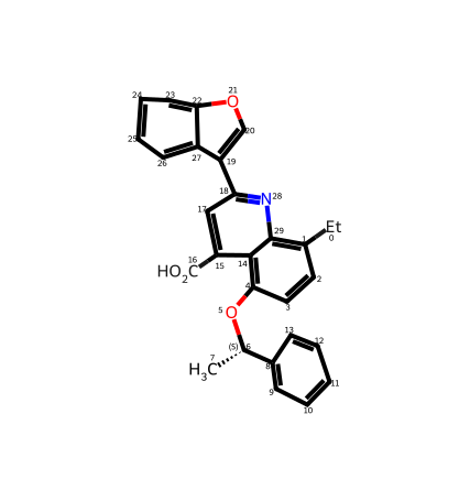 CCc1ccc(O[C@@H](C)c2ccccc2)c2c(C(=O)O)cc(-c3coc4ccccc34)nc12